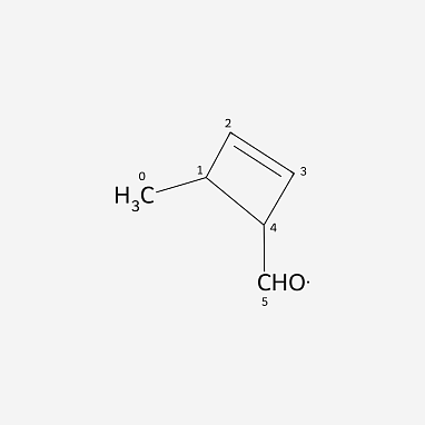 CC1C=CC1[C]=O